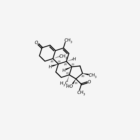 CC(=O)[C@@]1(O)[C@H](C)C[C@H]2[C@@H]3C=C(C)C4=CC(=O)CC[C@]4(C)[C@H]3CC[C@@]21C